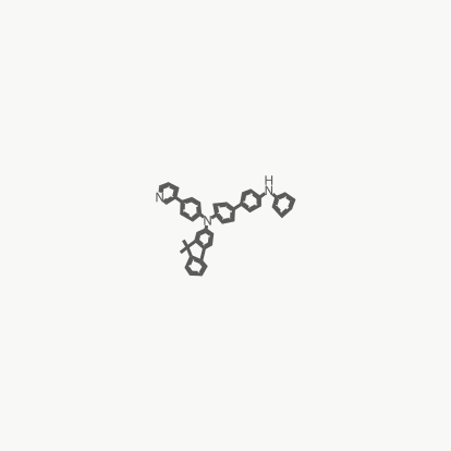 CC1(C)c2ccccc2-c2ccc(N(c3ccc(-c4ccc(Nc5ccccc5)cc4)cc3)c3ccc(-c4cccnc4)cc3)cc21